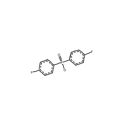 [O]P(=O)(c1ccc(F)cc1)c1ccc(F)cc1